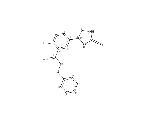 Cc1ccc([C@H]2CNC(=O)O2)cc1C(=O)CCc1ccccc1